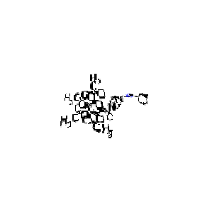 CC(=O)O[C@@H]1O[C@H](C(=O)N2CCN(C/C=C/c3ccccc3)CC2)[C@@H](OC(C)=O)[C@H](OC(C)=O)[C@H]1OC(C)=O